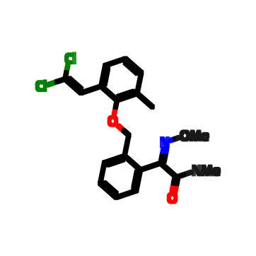 CNC(=O)C(=NOC)c1ccccc1COc1c(C)cccc1C=C(Cl)Cl